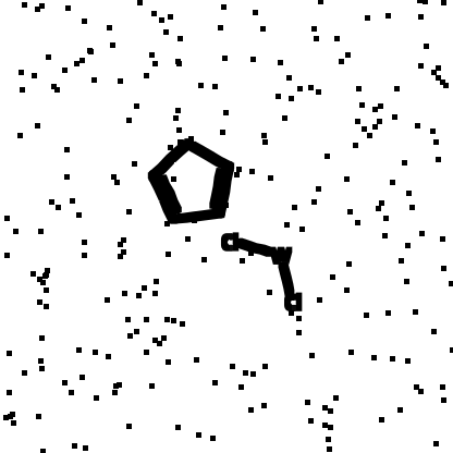 C1=CCC=C1.[Cl][W][Cl]